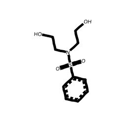 O=S(=O)(c1[c]cccc1)N(CCO)CCO